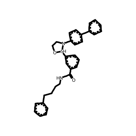 O=C(NCCCCc1ccccc1)c1cccc([SH]2OCCN2c2ccc(-c3ccccc3)cc2)c1